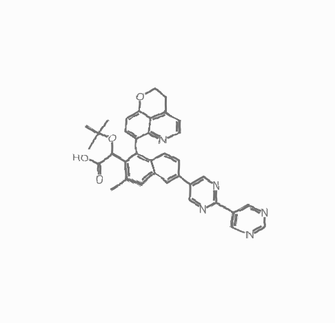 Cc1cc2cc(-c3cnc(-c4cncnc4)nc3)ccc2c(-c2ccc3c4c(ccnc24)CCO3)c1C(OC(C)(C)C)C(=O)O